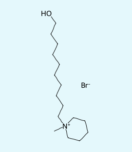 C[N+]1(CCCCCCCCCCO)CCCCC1.[Br-]